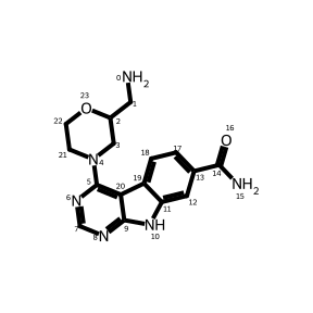 NCC1CN(c2ncnc3[nH]c4cc(C(N)=O)ccc4c23)CCO1